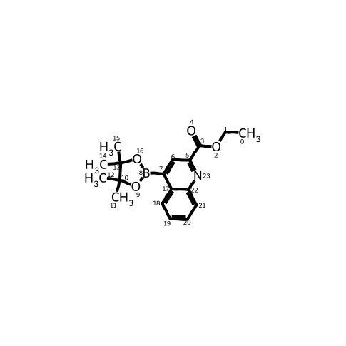 CCOC(=O)c1cc(B2OC(C)(C)C(C)(C)O2)c2ccccc2n1